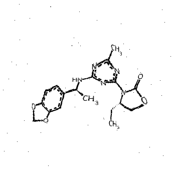 CC[C@H]1COC(=O)N1c1nc(C)nc(N[C@@H](C)c2ccc3c(c2)OCO3)n1